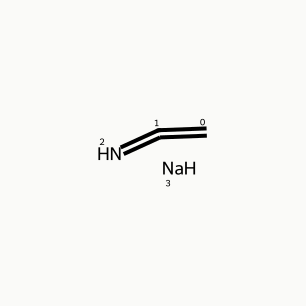 C=C=N.[NaH]